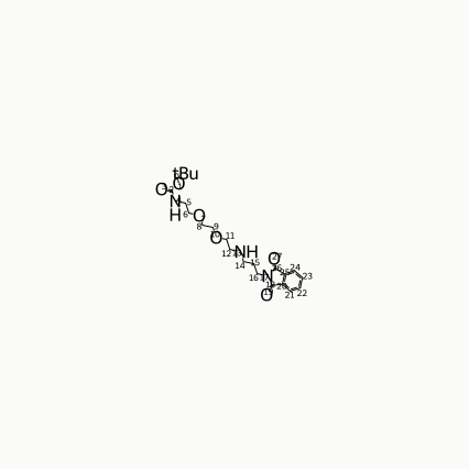 CC(C)(C)OC(=O)NCCOCCOCCNCCCN1C(=O)c2ccccc2C1=O